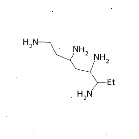 CCC(N)C(N)CC(N)CCN